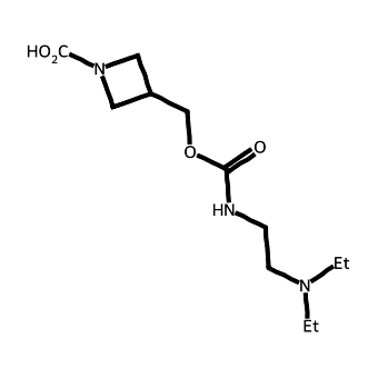 CCN(CC)CCNC(=O)OCC1CN(C(=O)O)C1